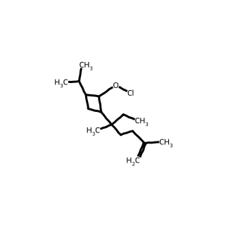 C=C(C)CCC(C)(CC)C1CC(C(C)C)C1OCl